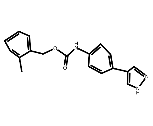 Cc1ccccc1COC(=O)Nc1ccc(-c2cn[nH]c2)cc1